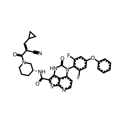 N#C/C(=C\C1CC1)C(=O)N1CCC[C@@H](NC(=O)c2sc3nccc4c3c2NC(=O)N4c2c(F)cc(Oc3ccccc3)cc2F)C1